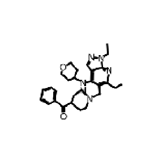 CCc1nc2c(cnn2CC)c(NC2CCOCC2)c1CN1CCC(C(=O)c2ccccc2)CC1